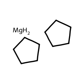 C1CCCC1.C1CCCC1.[MgH2]